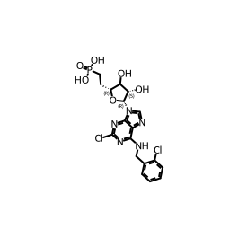 O=P(O)(O)CC[C@H]1O[C@@H](n2cnc3c(NCc4ccccc4Cl)nc(Cl)nc32)[C@@H](O)C1O